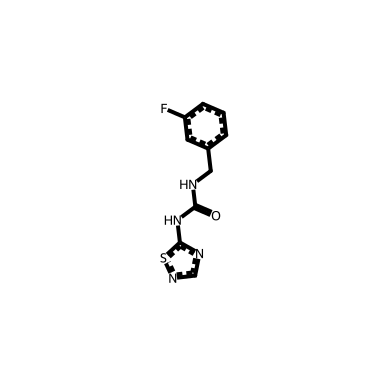 O=C(NCc1cccc(F)c1)Nc1ncns1